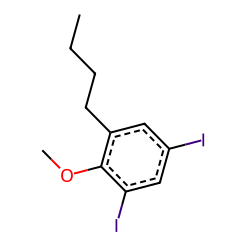 CCCCc1cc(I)cc(I)c1OC